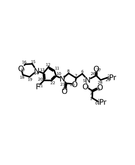 CC(C)CC(=O)ON(CC1CN(c2ccc(N3CCOCC3)c(F)c2)C(=O)O1)C(=O)CC(C)C